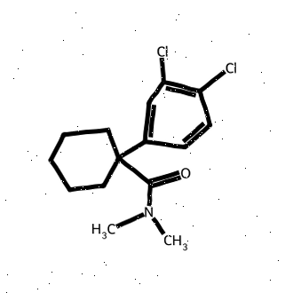 CN(C)C(=O)C1(c2ccc(Cl)c(Cl)c2)CCCCC1